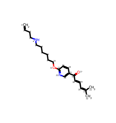 C=CCCNCCCCCCOc1ccc(C(=O)C=CC=C(C)C)cn1